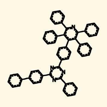 c1ccc(-c2ccc(-c3nc(-c4ccccc4)nc(-c4ccc(-c5c(-c6ccccc6)c(-c6ccccc6)nc(-c6ccccc6)c5-c5ccccc5)cc4)n3)cc2)cc1